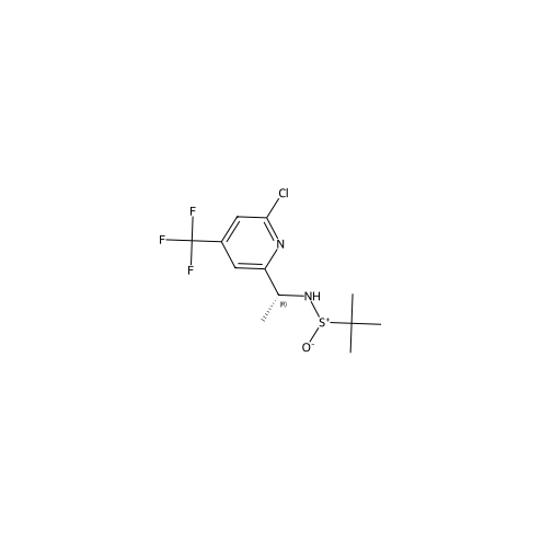 C[C@@H](N[S+]([O-])C(C)(C)C)c1cc(C(F)(F)F)cc(Cl)n1